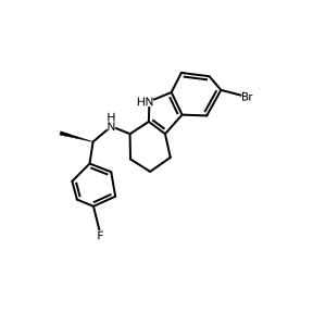 C[C@@H](NC1CCCc2c1[nH]c1ccc(Br)cc21)c1ccc(F)cc1